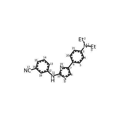 CCN(CC)c1ccc(-c2csc(Nc3cccc(C#N)c3)n2)cc1